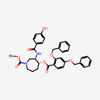 CC(C)(C)OC(=O)N1CCC[C@@H](OC(=O)c2ccc(OCc3ccccc3)cc2OCc2ccccc2)[C@H](NC(=O)c2ccc(O)cc2)C1